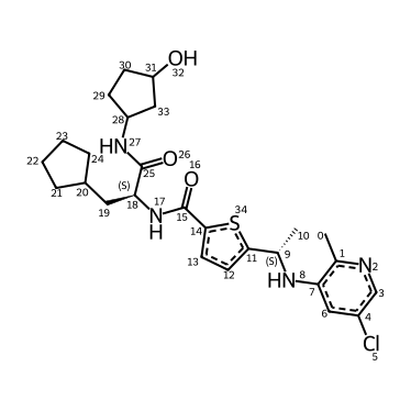 Cc1ncc(Cl)cc1N[C@@H](C)c1ccc(C(=O)N[C@@H](CC2CCCC2)C(=O)NC2CCC(O)C2)s1